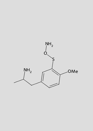 COc1ccc(CC(C)N)cc1SON